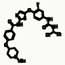 CCCCN1CCC(Oc2ccc(C(=O)Nc3ncc(Oc4ccc(NC(=O)NC(CC)CC)cc4F)s3)cc2)CC1